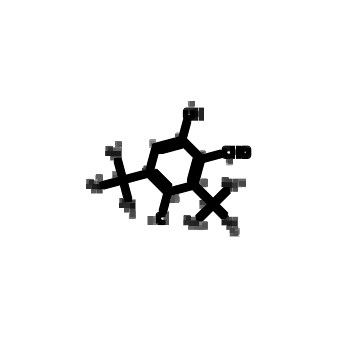 [2H]C([2H])([2H])c1cc(O)c(C=O)c(C([2H])([2H])[2H])c1Cl